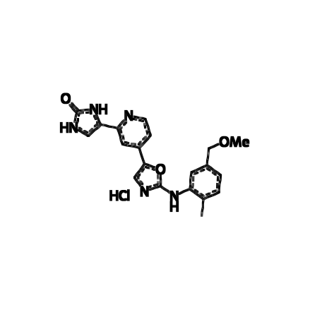 COCc1ccc(C)c(Nc2ncc(-c3ccnc(-c4c[nH]c(=O)[nH]4)c3)o2)c1.Cl